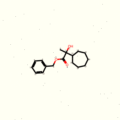 CC(O)(C(=O)OCc1ccccc1)C1CCCCCC1